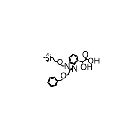 C[Si](C)(C)CCOCn1c(COCc2ccccc2)nc2c(C(O)C(=O)O)cccc21